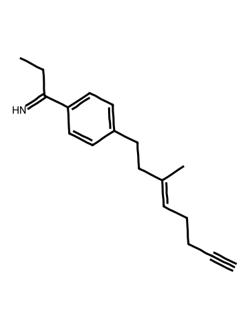 C#CCC/C=C(\C)CCc1ccc(C(=N)CC)cc1